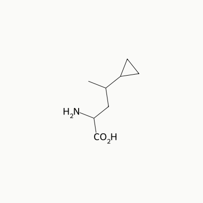 CC(CC(N)C(=O)O)C1CC1